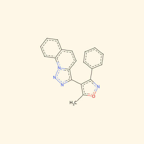 Cc1onc(-c2ccccc2)c1-c1nnn2c1ccc1ccccc12